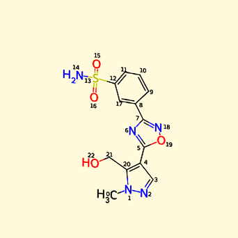 Cn1ncc(-c2nc(-c3cccc(S(N)(=O)=O)c3)no2)c1CO